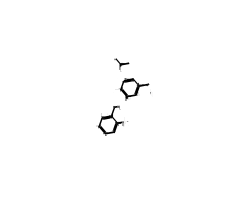 CC(C)Oc1cc(C=O)cc(OCc2ccccc2F)c1